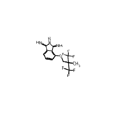 CC(COc1cccc2c1C(=N)NC2=N)(C(F)(F)F)C(F)(F)F